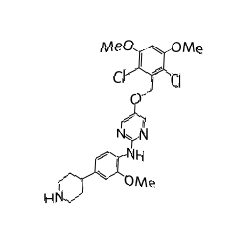 COc1cc(C2CCNCC2)ccc1Nc1ncc(OCc2c(Cl)c(OC)cc(OC)c2Cl)cn1